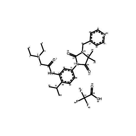 CCN(CC)CC(=O)Nc1cc(N2C(=O)N(Cc3ccncc3)C(C)(C)C2=O)ccc1C(C)C.O=C(O)C(F)(F)F